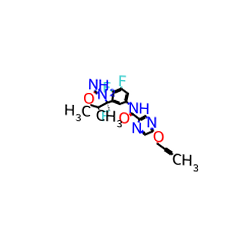 CC#CCOc1cnc(C(=O)Nc2cc(F)c(F)c([C@]3(CF)N=C(N)OC(C)[C@H]3C)c2)cn1